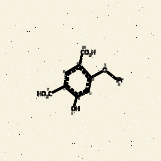 CC(C)Oc1cc(O)c(C(=O)O)cc1C(=O)O